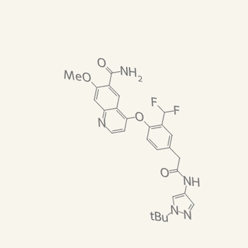 COc1cc2nccc(Oc3ccc(CC(=O)Nc4cnn(C(C)(C)C)c4)cc3C(F)F)c2cc1C(N)=O